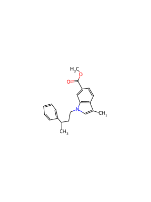 COC(=O)c1ccc2c(C)cn(CCC(C)c3ccccc3)c2c1